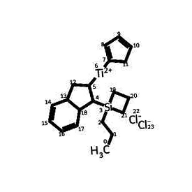 CCC[Si]1(C2[CH]([Ti+2][C]3=CC=CC3)CC3C=CC=CC32)CCC1.[Cl-].[Cl-]